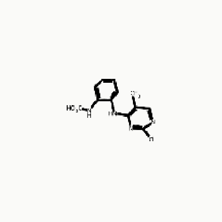 O=C(O)Nc1ccccc1Nc1nc(Cl)ncc1C(F)(F)F